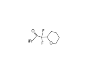 CC(C)C(=O)C(F)(F)C1CCCCO1